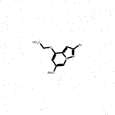 COc1cc(OCC(=O)O)c2cc(C(C)=O)nn2c1